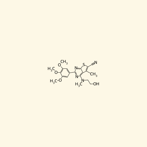 COc1cc(-c2nc(N(C)CCO)c3c(C)c(C#N)sc3n2)cc(OC)c1OC